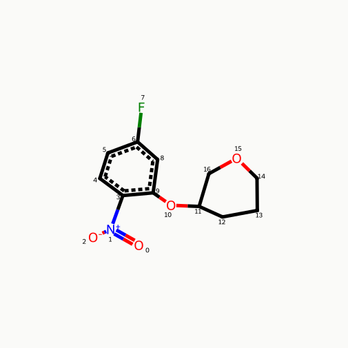 O=[N+]([O-])c1ccc(F)cc1OC1CCCOC1